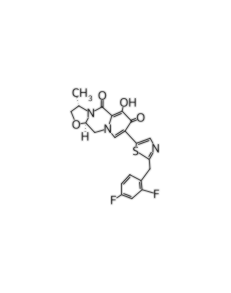 C[C@H]1CO[C@@H]2Cn3cc(-c4cnc(Cc5ccc(F)cc5F)s4)c(=O)c(O)c3C(=O)N12